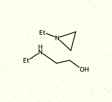 CCN1CC1.CCNCCO